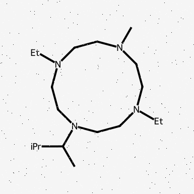 CCN1CCN(C)CCN(CC)CCN(C(C)C(C)C)CC1